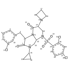 O=C1C(Cc2cccc(Cl)c2)N2C(=O)C(N3CCC3)CN(S(=O)(=O)c3ccc(Cl)cc3Cl)C2CN1C1CC1